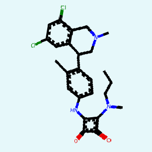 CCCN(C)c1c(Nc2ccc(C3CN(C)Cc4c(Cl)cc(Cl)cc43)c(C)c2)c(=O)c1=O